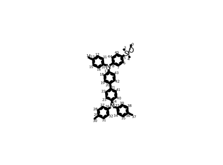 CO[Si](C)(C)c1ccc(N(c2ccc(C)cc2)c2ccc(-c3ccc(N(c4ccc(C)cc4)c4ccc(C)cc4)cc3)cc2)cc1